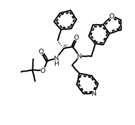 CC(C)(C)OC(=O)N[C@H](Cc1ccccc1)C(=O)N(Cc1ccncc1)Cc1ccc2occc2c1